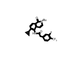 CC[C@@H](C)n1ccc2c(NC(=O)Cc3ccc(C(F)(F)F)c(F)c3)c(C3CC3)ccc2c1=O